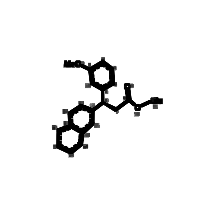 COc1cccc([C@@H](CC(=O)OC(C)(C)C)c2ccc3ccccc3c2)c1